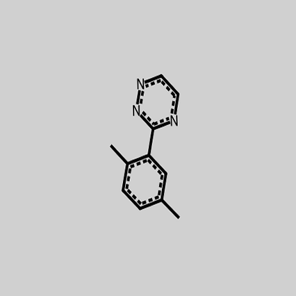 Cc1ccc(C)c(-c2nccnn2)c1